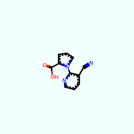 N#Cc1cccnc1-n1cccc1C(=O)O